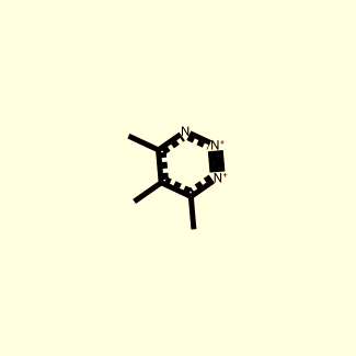 Cc1n[n+]#[n+]c(C)c1C